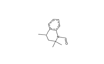 CC1CC(C)(C)N(C=O)c2ccccc21